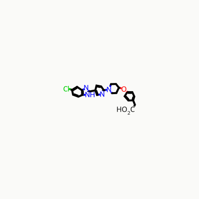 O=C(O)Cc1ccc(OC2CCN(c3ccc(-c4nc5cc(Cl)ccc5[nH]4)cn3)CC2)cc1